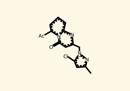 CC(=O)c1cccc2nc(Cn3nc(C)cc3Cl)cc(=O)n12